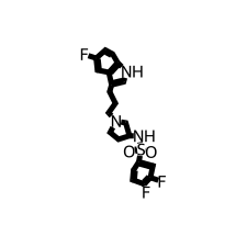 O=S(=O)(NC1CCN(CCCc2c[nH]c3ccc(F)cc23)C1)c1ccc(F)c(F)c1